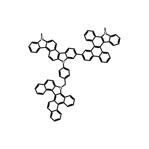 Cn1c2ccccc2c2c3ccc4c(c3ccc21)c1ccc(-c2ccc3c5ccccc5c5c(c3c2)c2ccccc2c2c5c3ccccc3n2C)cc1n4-c1ccc(Cn2c3ccc4ccccc4c3c3c4ccc5ccccc5c4c4ccccc4c32)cc1